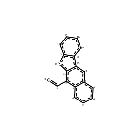 O=Cc1c2ccccc2cc2c1sc1ccccc12